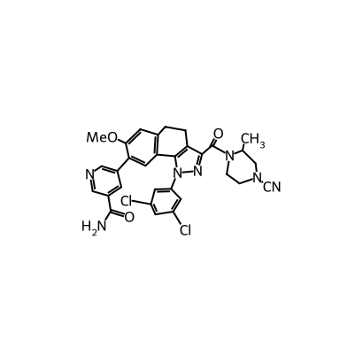 COc1cc2c(cc1-c1cncc(C(N)=O)c1)-c1c(c(C(=O)N3CCN(C#N)CC3C)nn1-c1cc(Cl)cc(Cl)c1)CC2